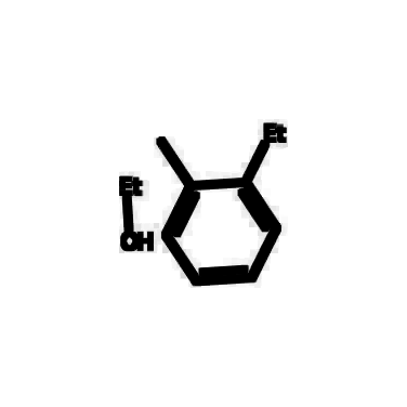 CCO.CCc1ccccc1C